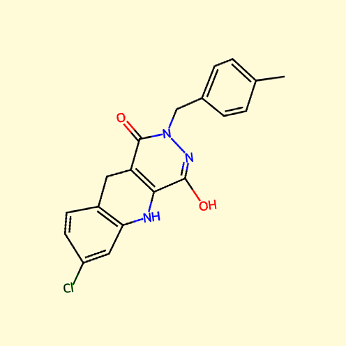 Cc1ccc(Cn2nc(O)c3c(c2=O)Cc2ccc(Cl)cc2N3)cc1